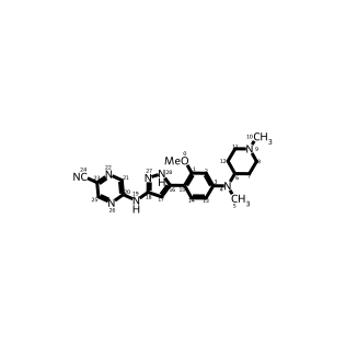 COc1cc(N(C)C2CCN(C)CC2)ccc1-c1cc(Nc2cnc(C#N)cn2)n[nH]1